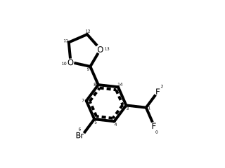 FC(F)c1cc(Br)cc(C2OCCO2)c1